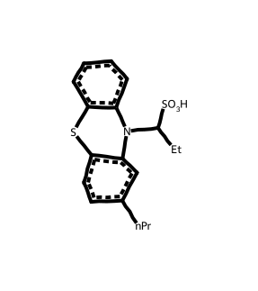 CCCc1ccc2c(c1)N(C(CC)S(=O)(=O)O)c1ccccc1S2